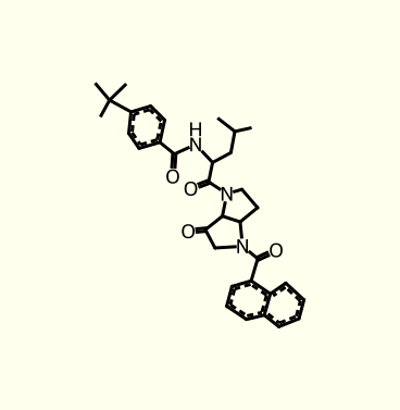 CC(C)CC(NC(=O)c1ccc(C(C)(C)C)cc1)C(=O)N1CCC2C1C(=O)CN2C(=O)c1cccc2ccccc12